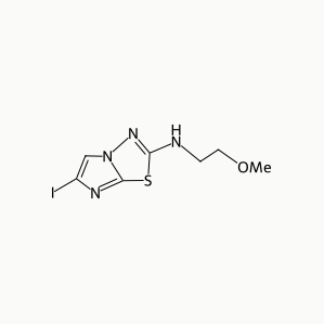 COCCNc1nn2cc(I)nc2s1